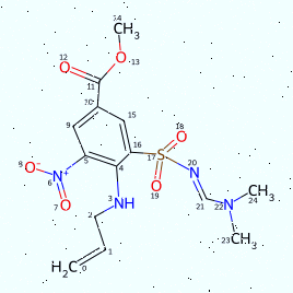 C=CCNc1c([N+](=O)[O-])cc(C(=O)OC)cc1S(=O)(=O)N=CN(C)C